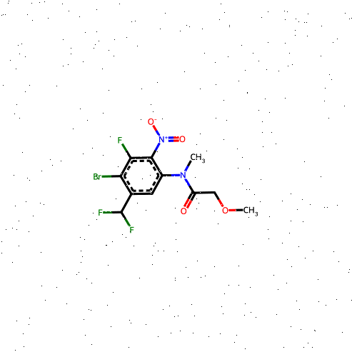 COCC(=O)N(C)c1cc(C(F)F)c(Br)c(F)c1[N+](=O)[O-]